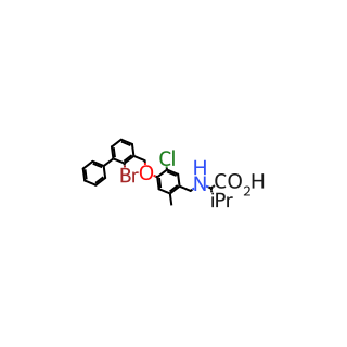 Cc1cc(OCc2cccc(-c3ccccc3)c2Br)c(Cl)cc1CNC(C(=O)O)C(C)C